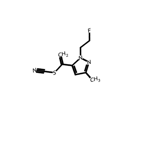 C=C(SC#N)c1cc(C)nn1CCF